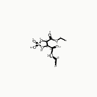 CCOC(=O)C1OS(=O)(=O)OC1C(=O)OCC